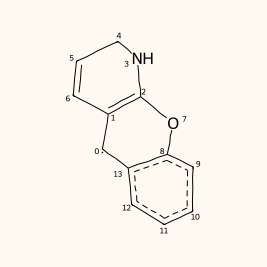 [CH]1C2=C(NCC=C2)Oc2ccccc21